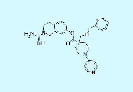 N=C(N)N1CCc2ccc(OC(=O)C3(COCc4ccccc4)CCN(c4ccncc4)CC3)cc2C1